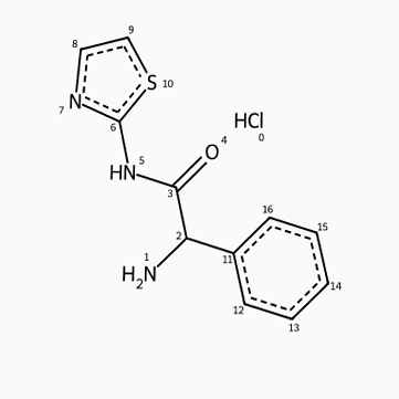 Cl.NC(C(=O)Nc1nccs1)c1ccccc1